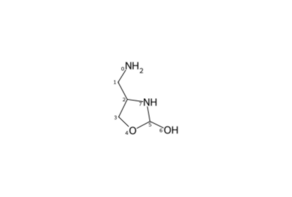 NCC1COC(O)N1